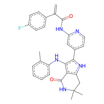 C=C(C(=O)Nc1cc(-c2[nH]c3c(c2Nc2ccccc2C)C(=O)NC(C)(C)C3)ccn1)c1ccc(F)cc1